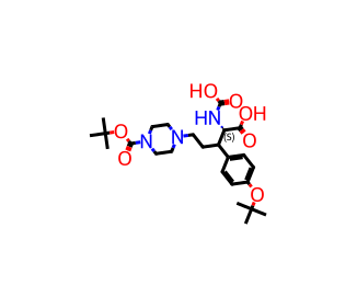 CC(C)(C)OC(=O)N1CCN(CCC(c2ccc(OC(C)(C)C)cc2)[C@H](NC(=O)O)C(=O)O)CC1